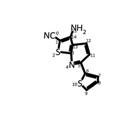 N#Cc1sc2nc(-c3cccs3)ccc2c1N